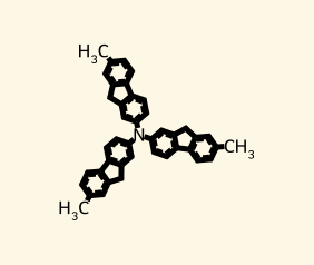 Cc1ccc2c(c1)Cc1cc(N(c3ccc4c(c3)Cc3cc(C)ccc3-4)c3ccc4c(c3)Cc3cc(C)ccc3-4)ccc1-2